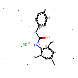 Cc1cc(C)c(NC(=O)Cc2ccccc2)c(C)c1.Cl